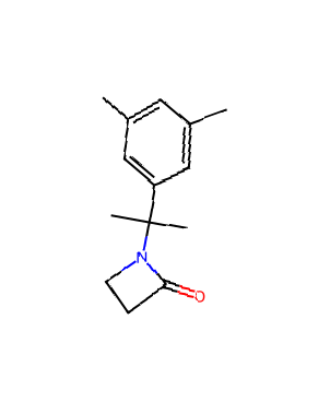 Cc1cc(C)cc(C(C)(C)N2CCC2=O)c1